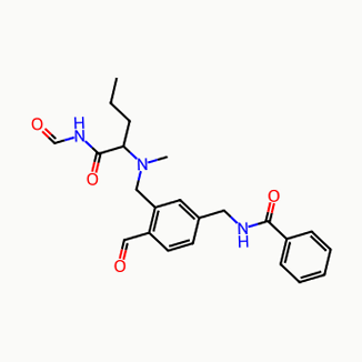 CCCC(C(=O)NC=O)N(C)Cc1cc(CNC(=O)c2ccccc2)ccc1C=O